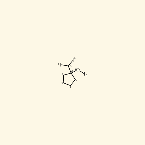 IOC1(C(I)I)CCCC1